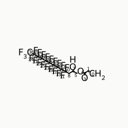 C=CC(=O)OCC(O)CC(F)(F)C(F)(F)C(F)(F)C(F)(F)C(F)(F)C(F)(F)C(F)(F)C(F)(F)C(F)(F)C(F)(F)F